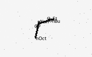 CCCCCCCC/C=C\CCCCCCCC(=O)OCC(CCCCCCCCC)CCCCCCCC(=O)OCC(CC)CCCC